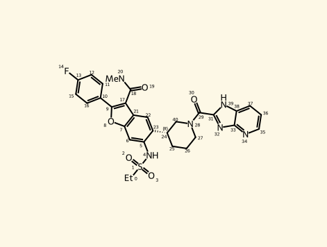 CCS(=O)(=O)Nc1cc2oc(-c3ccc(F)cc3)c(C(=O)NC)c2cc1[C@H]1CCCN(C(=O)c2nc3ncccc3[nH]2)C1